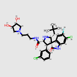 CC(C)(C)C[C@H]1N[C@@H](C(=O)NCCCN2C[C@@H](O)[C@H](O)C2)[C@H](c2cccc(Cl)c2)[C@@]12C(=O)Nc1cc(Cl)c(F)cc12